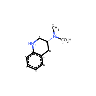 CN(C(=O)O)[C@H]1CNc2ccccc2C1